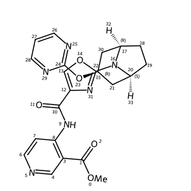 COC(=O)c1cnccc1NC(=O)c1coc(N2[C@@H]3CC[C@H]2C[C@@H](Oc2ncccn2)C3)n1